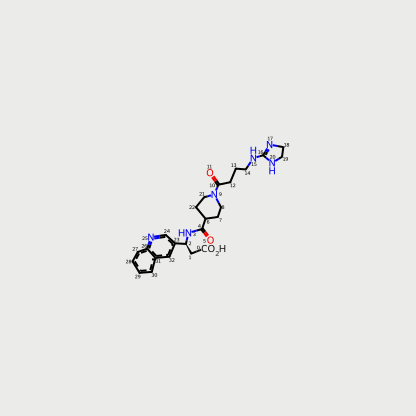 O=C(O)C[C@H](NC(=O)C1CCN(C(=O)CCCNC2=NCCN2)CC1)c1cnc2ccccc2c1